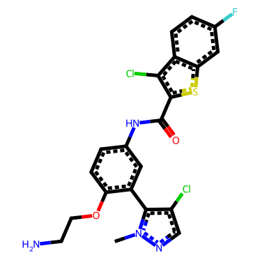 Cn1ncc(Cl)c1-c1cc(NC(=O)c2sc3cc(F)ccc3c2Cl)ccc1OCCN